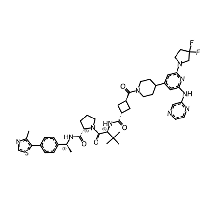 Cc1ncsc1-c1ccc([C@H](C)NC(=O)[C@@H]2CCCN2C(=O)[C@@H](NC(=O)[C@H]2C[C@H](C(=O)N3CCC(c4cc(Nc5cnccn5)nc(N5CCC(F)(F)C5)c4)CC3)C2)C(C)(C)C)cc1